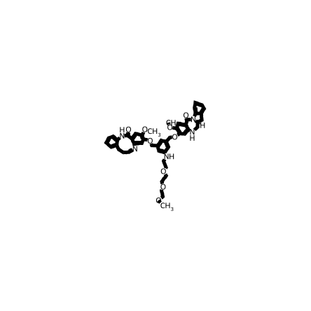 COCCOCCOCCNc1cc(COc2cc3c(cc2OC)C(=O)Nc2ccccc2CC/C=N\3)cc(COc2cc3c(cc2OC)C(=O)N2c4ccccc4C[C@H]2CN3)c1